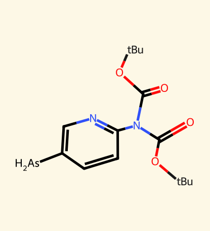 CC(C)(C)OC(=O)N(C(=O)OC(C)(C)C)c1ccc([AsH2])cn1